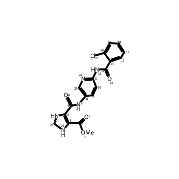 COC(=O)C1=C(C(=O)Nc2ccc(NC(=O)c3ccccc3Cl)nc2)NCN1